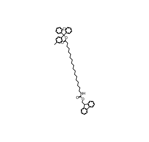 Cc1ccc(C(OC(=O)CCCCCCCCCCCCCCCCCCNC(=O)OCC2c3ccccc3-c3ccccc32)(c2ccccc2)c2ccccc2Cl)cc1